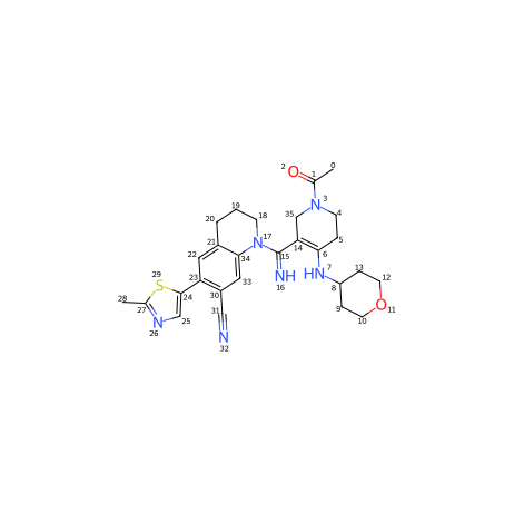 CC(=O)N1CCC(NC2CCOCC2)=C(C(=N)N2CCCc3cc(-c4cnc(C)s4)c(C#N)cc32)C1